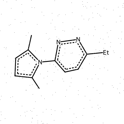 CCc1ccc(-n2c(C)ccc2C)nn1